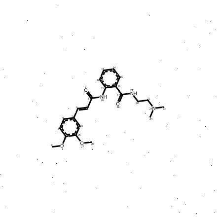 COc1ccc(/C=C/C(=O)Nc2ccccc2C(=O)NCCN(C)C)cc1OC